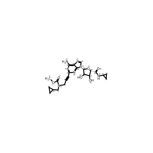 COC(=O)N(CC#Cc1nc(N)c2ncn([C@@H]3O[C@H](C(=O)NC4CC4)C(O)C3O)c2n1)CC1CC1